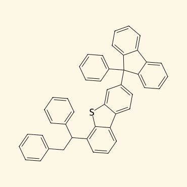 c1ccc(CC(c2ccccc2)c2cccc3c2sc2cc(C4(c5ccccc5)c5ccccc5-c5ccccc54)ccc23)cc1